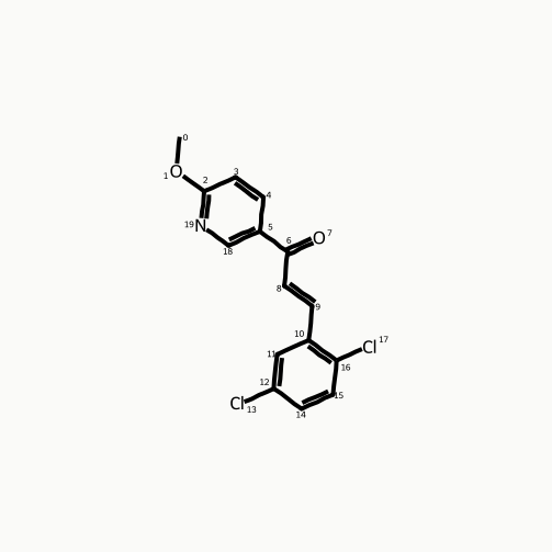 COc1ccc(C(=O)C=Cc2cc(Cl)ccc2Cl)cn1